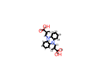 CC(=CN1c2ccccc2N(C=C(C)C(=O)O)c2ccccc21)C(=O)O